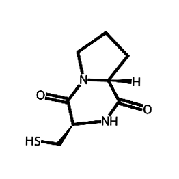 O=C1N[C@@H](CS)C(=O)N2CCC[C@H]12